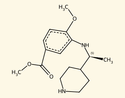 COC(=O)c1ccc(OC)c(N[C@@H](C)C2CCNCC2)c1